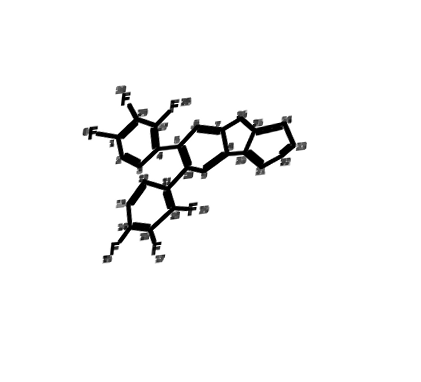 Fc1ccc(-c2[c]c3c(cc2-c2ccc(F)c(F)c2F)-c2ccccc2C3)c(F)c1F